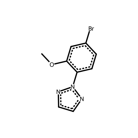 COc1cc(Br)ccc1-n1nccn1